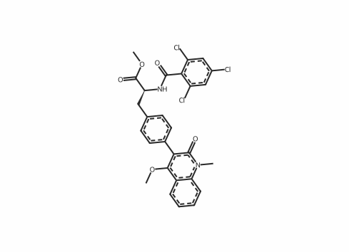 COC(=O)[C@H](Cc1ccc(-c2c(OC)c3ccccc3n(C)c2=O)cc1)NC(=O)c1c(Cl)cc(Cl)cc1Cl